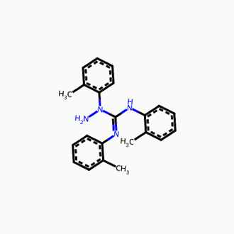 Cc1ccccc1N=C(Nc1ccccc1C)N(N)c1ccccc1C